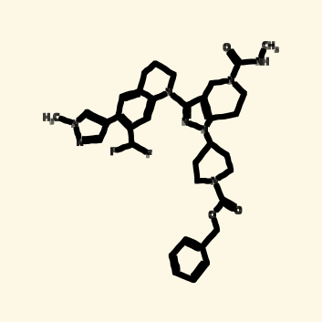 CNC(=O)N1CCc2c(c(N3CCCc4cc(-c5cnn(C)c5)c(C(F)F)cc43)nn2C2CCN(C(=O)OCc3ccccc3)CC2)C1